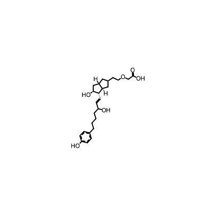 O=C(O)COCCC1C[C@H]2C[C@H](O)[C@@H](C=CC(O)CCCCc3ccc(O)cc3)[C@@H]2C1